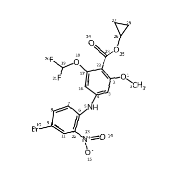 COc1cc(Nc2ccc(Br)cc2[N+](=O)[O-])cc(OC(F)F)c1C(=O)OC1CC1